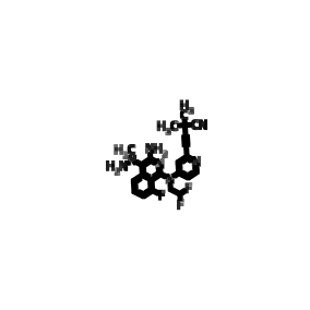 CN(N)c1c(N)nc(N(CC(F)F)c2ccnc(C#CC(C)(C)C#N)c2)c2c(F)cccc12